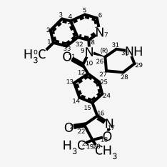 Cc1ccc2ccnc(N(C(=O)c3ccc(C4=NOC(C)(C)C4=O)cc3)[C@@H]3CCCNC3)c2c1